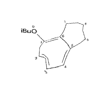 CC(C)COc1cccc2c1CCC2